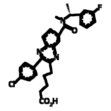 C[C@H](c1cccc(F)c1)N(C)C(=O)c1ccc2nc(-c3ccc(Cl)cc3)c(CCCCC(=O)O)nc2c1